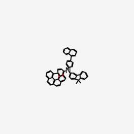 CC1(C)c2ccccc2-c2cc(N(c3ccc(-c4cccc5ccccc45)cc3)c3ccc(-c4cccc5ccc6ccc7ccccc7c6c45)cc3)ccc21